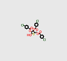 O=C(OC[C@H]1SC(O)C(OC(=O)c2ccc(Cl)cc2)[C@H]1OC(=O)c1ccc(Cl)cc1)c1ccc(Cl)cc1